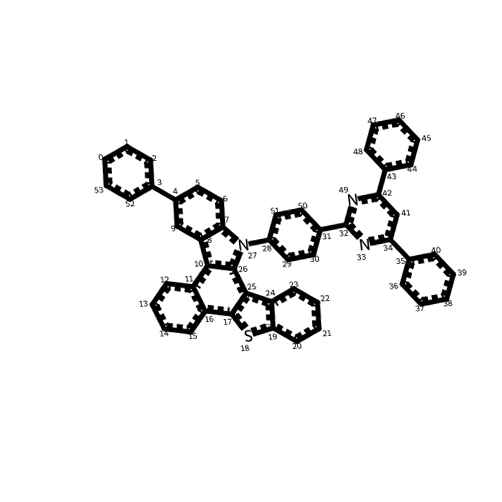 c1ccc(-c2ccc3c(c2)c2c4ccccc4c4sc5ccccc5c4c2n3-c2ccc(-c3nc(-c4ccccc4)cc(-c4ccccc4)n3)cc2)cc1